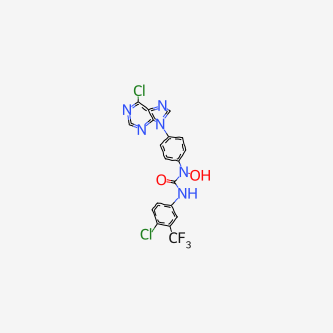 O=C(Nc1ccc(Cl)c(C(F)(F)F)c1)N(O)c1ccc(-n2cnc3c(Cl)ncnc32)cc1